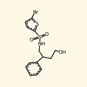 O=S(=O)(NCC(CCO)c1ccccc1)c1ccc(Br)s1